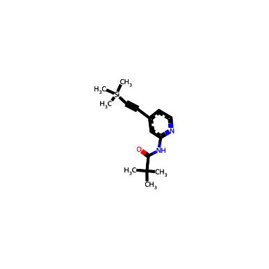 CC(C)(C)C(=O)Nc1cc(C#C[Si](C)(C)C)ccn1